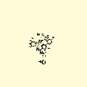 C=CC(=O)N1CC[C@@H](N(C)c2nc(OC[C@@H]3CCCN3C)nc3c(F)c(-c4ccc(F)c5sc(N)c(C#N)c45)ccc23)C1COC